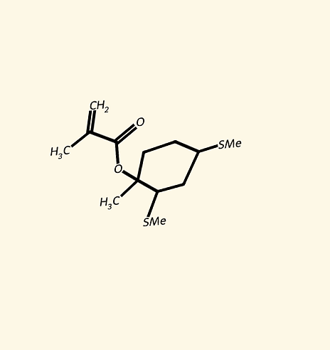 C=C(C)C(=O)OC1(C)CCC(SC)CC1SC